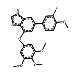 COc1ccc(-c2cc(Oc3cc(OC)c(OC)c(OC)c3)c3nc[nH]c3c2)cc1F